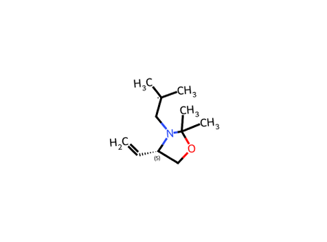 C=C[C@H]1COC(C)(C)N1C[C](C)C